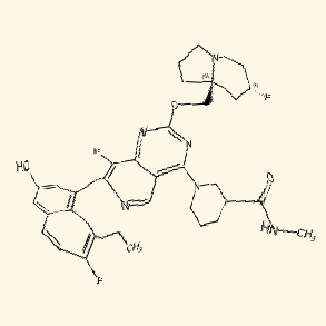 CCc1c(F)ccc2cc(O)cc(-c3ncc4c(N5CCCC(C(=O)NC)C5)nc(OC[C@@]56CCCN5C[C@H](F)C6)nc4c3F)c12